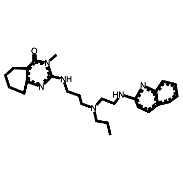 CCCN(CCCNc1nc2c(c(=O)n1C)CCCC2)CCNc1ccc2ccccc2n1